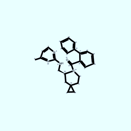 Cc1ccnc(NC[C@@H]2CC3(CCN2C(=O)c2ccccc2-c2ccccc2)CC3)n1